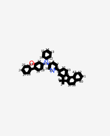 CC1(C)c2cc(-c3ccc(N(c4ccccc4)c4ccc5c(c4)oc4ccccc45)cn3)ccc2-c2c1ccc1ccccc21